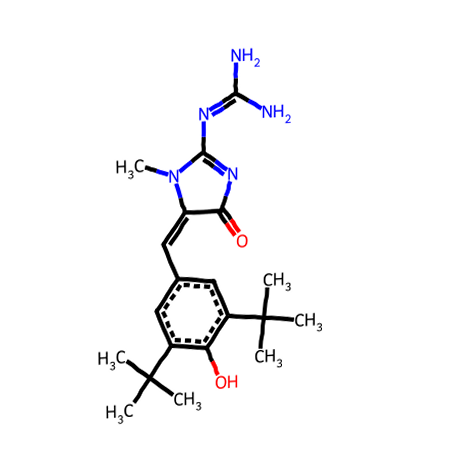 CN1C(=Cc2cc(C(C)(C)C)c(O)c(C(C)(C)C)c2)C(=O)N=C1N=C(N)N